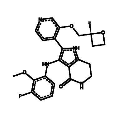 COc1c(F)cccc1Nc1c(-c2ccncc2OC[C@]2(C)CCO2)[nH]c2c1C(=O)NCC2